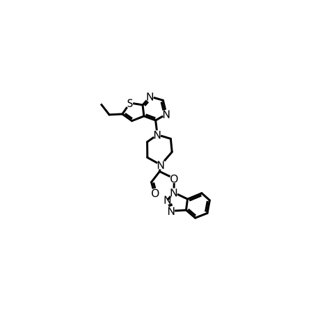 CCc1cc2c(N3CCN(C(C=O)On4nnc5ccccc54)CC3)ncnc2s1